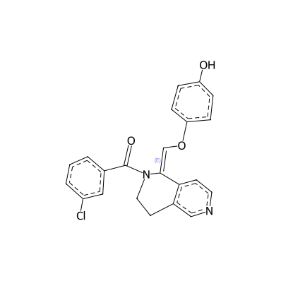 O=C(c1cccc(Cl)c1)N1CCc2cnccc2/C1=C\Oc1ccc(O)cc1